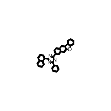 c1ccc(-c2nc(-c3ccc4cc5c(cc4c3)oc3ccccc35)nc(-c3cccc4ccccc34)n2)cc1